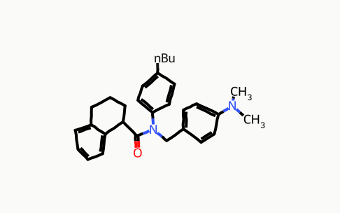 CCCCc1ccc(N(Cc2ccc(N(C)C)cc2)C(=O)C2CCCc3ccccc32)cc1